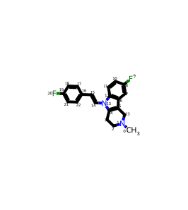 CN1CCc2c(c3cc(F)ccc3n2C=Cc2ccc(F)cc2)C1